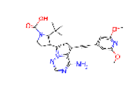 COc1cc(C#Cc2cc(C3CCN(C(=O)O)C3C(C)(C)C)n3ncnc(N)c23)cc(OC)n1